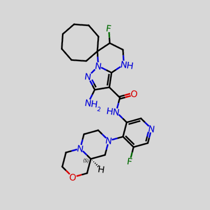 Nc1nn2c(c1C(=O)Nc1cncc(F)c1N1CCN3CCOC[C@@H]3C1)NCC(F)C21CCCCCCC1